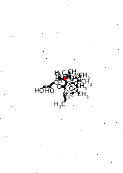 C=C(C(=O)OCC(O)CO)C(C(=O)OCCC)[Si](O[Si](C)(C)C)(O[Si](C)(C)C)O[Si](C)(C)C